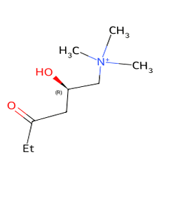 CCC(=O)C[C@@H](O)C[N+](C)(C)C